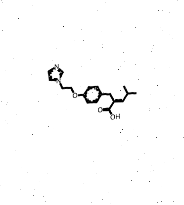 CC(C)/C=C(\Cc1ccc(OCCn2ccnc2)cc1)C(=O)O